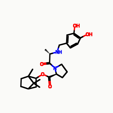 C[C@H](NCc1ccc(O)c(O)c1)C(=O)N1CCC[C@H]1C(=O)OC1CC2CCC1(C)C2(C)C